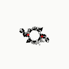 CCC(C)C[C@H]1C(=O)O[C@H](C)C(=O)N(C)[C@@H](CC2CC2)C(=O)O[C@H](Cc2ccc(N3CCOCC3)nc2)C(=O)N(C)[C@@H](CC(C)C)C(=O)O[C@H](C)C(=O)N(C)[C@@H](CC2CC2)C(=O)O[C@H](Cc2ccc(N3CCOCC3)nc2)C(=O)N1C